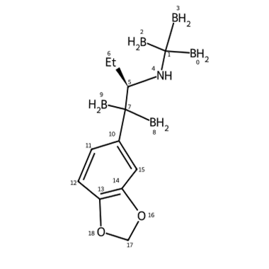 BC(B)(B)N[C@H](CC)C(B)(B)c1ccc2c(c1)OCO2